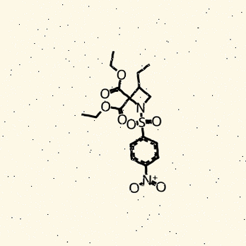 CCOC(=O)C1(C(=O)OCC)C(CC)CN1S(=O)(=O)c1ccc([N+](=O)[O-])cc1